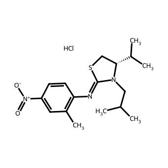 Cc1cc([N+](=O)[O-])ccc1N=C1SC[C@H](C(C)C)N1CC(C)C.Cl